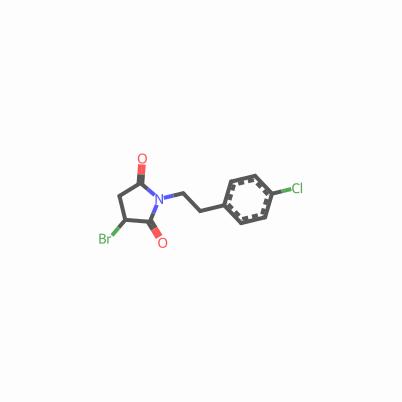 O=C1CC(Br)C(=O)N1CCc1ccc(Cl)cc1